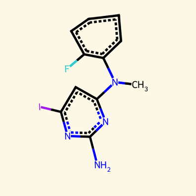 CN(c1cc(I)nc(N)n1)c1ccccc1F